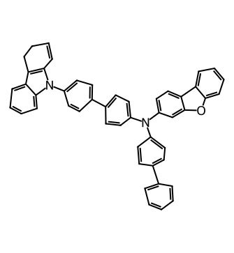 C1=Cc2c(c3ccccc3n2-c2ccc(-c3ccc(N(c4ccc(-c5ccccc5)cc4)c4ccc5c(c4)oc4ccccc45)cc3)cc2)CC1